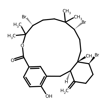 C=C1CC[C@H](Br)[C@@]2(C)CC[C@@H](Br)C(C)(C)CC[C@@H](Br)C(C)(C)OC(=O)c3ccc(O)c(c3)C[C@H]12